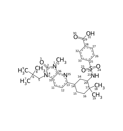 Cn1c(=O)n(CC(C)(C)C)c2ccc(C3CCC(C)(C)C(NS(=O)(=O)c4ccc(C(=O)O)cc4)C3)nc21